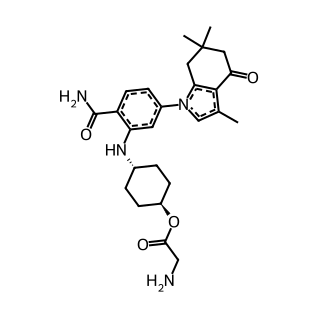 Cc1cn(-c2ccc(C(N)=O)c(N[C@H]3CC[C@H](OC(=O)CN)CC3)c2)c2c1C(=O)CC(C)(C)C2